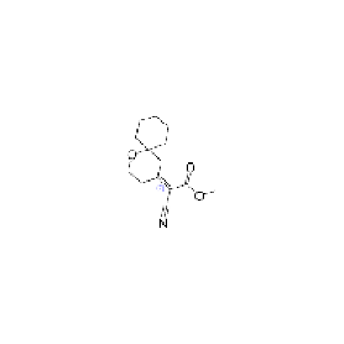 COC(=O)/C(C#N)=C1/CCOC2(CCCCC2)C1